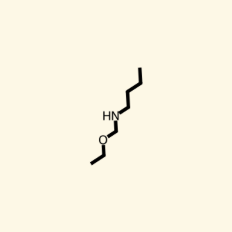 CCCCNCOCC